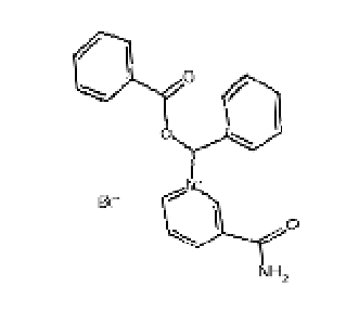 NC(=O)c1ccc[n+](C(OC(=O)c2ccccc2)c2ccccc2)c1.[Br-]